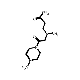 CN(CCC(N)=O)CC(=O)N1CCN(N)CC1